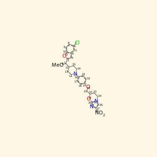 COC(c1cc2cc(Cl)ccc2o1)C1CCN(c2ccc(OCC3CCn4cc([N+](=O)[O-])nc4O3)cc2)CC1